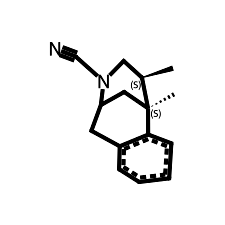 C[C@@H]1CN(C#N)C2Cc3ccccc3[C@@]1(C)C2